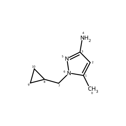 Cc1cc(N)nn1CC1CC1